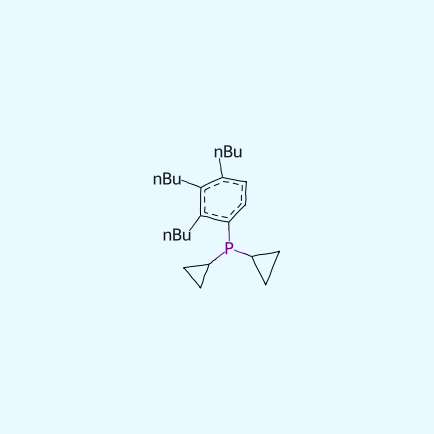 CCCCc1ccc(P(C2CC2)C2CC2)c(CCCC)c1CCCC